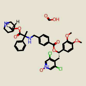 COc1ccc([C@H](Cc2c(Cl)c[n+]([O-])cc2Cl)OC(=O)c2ccc(CNC(C)(C(=O)O[C@H]3CN4CCC3CC4)c3ccccc3)cc2)cc1OC.O=CO